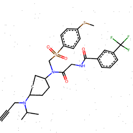 C#CCN(C(C)C)C1CCC(N(CS(=O)(=O)c2ccc(SC)cc2)C(=O)CNC(=O)c2cccc(C(F)(F)F)c2)CC1